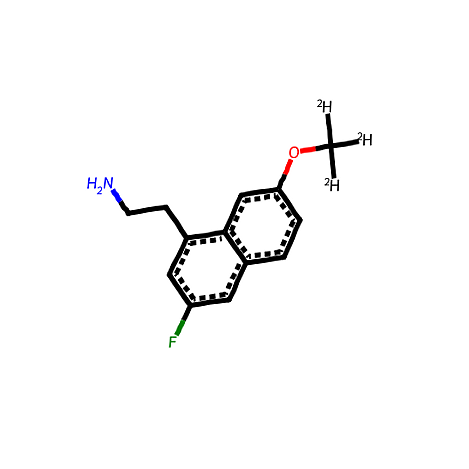 [2H]C([2H])([2H])Oc1ccc2cc(F)cc(CCN)c2c1